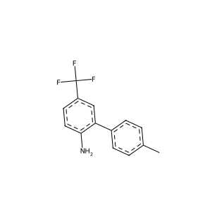 Cc1ccc(-c2cc(C(F)(F)F)ccc2N)cc1